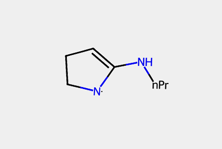 CCCNC1=CCC[N]1